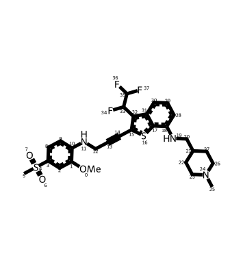 COc1cc(S(C)(=O)=O)ccc1NCC#Cc1sc2c(NCC3CCN(C)CC3)cccc2c1C(F)C(F)F